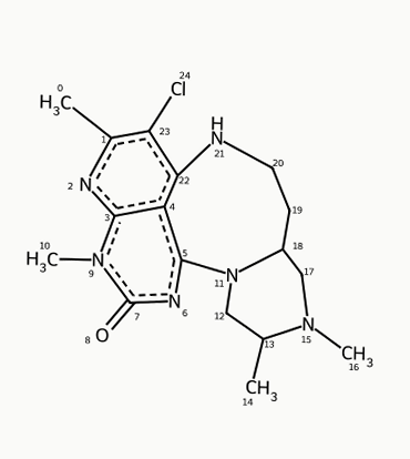 Cc1nc2c3c(nc(=O)n2C)N2CC(C)N(C)CC2CCNc3c1Cl